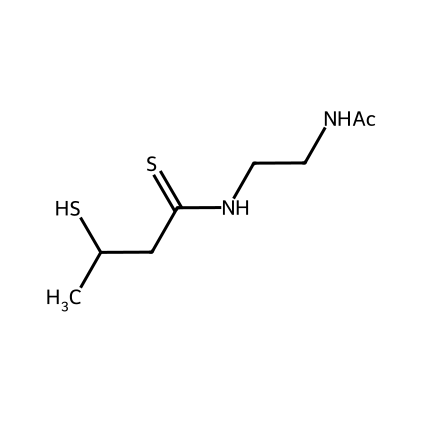 CC(=O)NCCNC(=S)CC(C)S